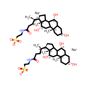 C[C@H](CCC(=O)NCCS(=O)(=O)[O-])[C@H]1CCC2C3C(C[C@H](O)[C@@]21C)[C@@]1(C)CC[C@@H](O)CC1C[C@H]3O.C[C@H](CCC(=O)NCCS(=O)(=O)[O-])[C@H]1CCC2C3C(C[C@H](O)[C@@]21C)[C@@]1(C)CC[C@@H](O)CC1C[C@H]3O.[Na+].[Na+]